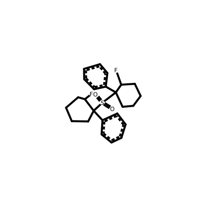 O=S(=O)(C1(c2ccccc2)CCCCC1F)C1(c2ccccc2)CCCCC1F